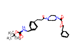 CC(C)(C)OC(=O)NCc1ccc(CCC(=O)N2CCN(C(=O)OCc3ccccc3)CC2)cc1